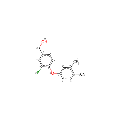 N#Cc1ccc(Oc2ccc(CO)cc2F)cc1C(F)(F)F